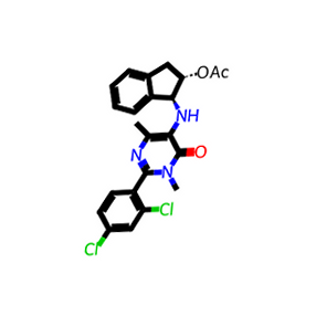 CC(=O)O[C@H]1Cc2ccccc2[C@@H]1Nc1c(C)nc(-c2ccc(Cl)cc2Cl)n(C)c1=O